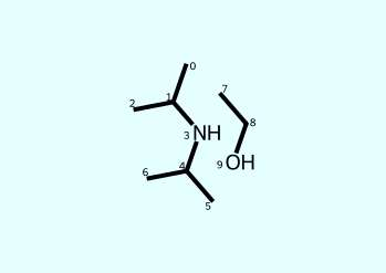 CC(C)NC(C)C.CCO